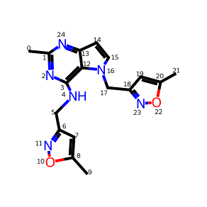 Cc1nc(NCc2cc(C)on2)c2c(ccn2Cc2cc(C)on2)n1